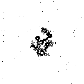 CN1CC[C@H]2CC[C@@H](C(=O)NC(CCC(N)=O)C(=O)NC(CCc3ccccc3)C(=O)N3CCC(CCC#Cc4cccc5c4CN(C4CCC(=O)NC4=O)C5=O)CC3)N2C(=O)[C@@H](NC(=O)c2cc3cc(C(F)(F)P(=O)(O)O)ccc3s2)C1